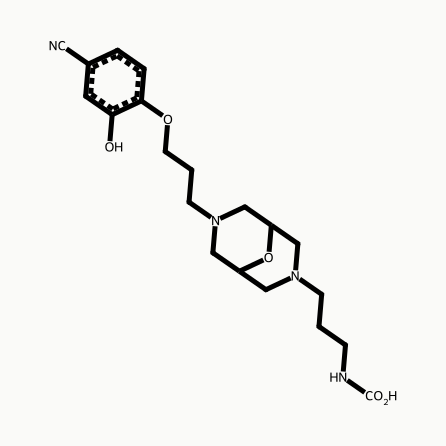 N#Cc1ccc(OCCCN2CC3CN(CCCNC(=O)O)CC(C2)O3)c(O)c1